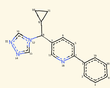 c1ccc(-c2ccc(C(C3CC3)n3cnnc3)cn2)cc1